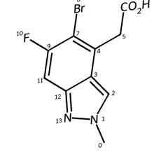 Cn1cc2c(CC(=O)O)c(Br)c(F)cc2n1